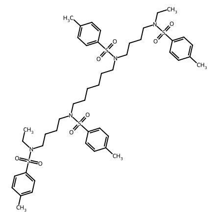 CCN(CCCCN(CCCCCCN(CCCCN(CC)S(=O)(=O)c1ccc(C)cc1)S(=O)(=O)c1ccc(C)cc1)S(=O)(=O)c1ccc(C)cc1)S(=O)(=O)c1ccc(C)cc1